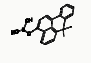 CC1(C)c2ccccc2-c2ccc(OB(O)O)c3cccc1c23